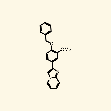 COc1cc(-c2cn3ccccc3n2)ccc1OCc1ccccc1